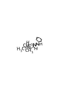 CC(C)(C)N1C[C@@H]2C[C@H]1CN2Nc1ccccc1